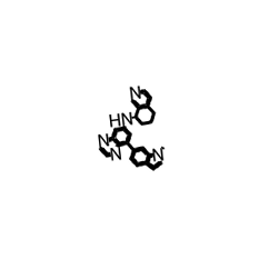 Cn1ccc2ccc(-c3cc(N[C@@H]4CCCc5ccncc54)cc4nccnc34)cc21